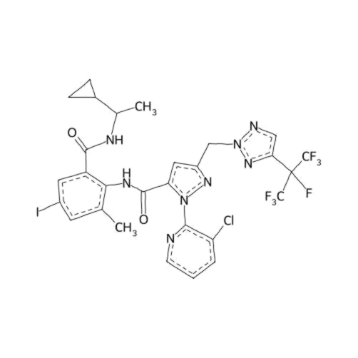 Cc1cc(I)cc(C(=O)NC(C)C2CC2)c1NC(=O)c1cc(Cn2ncc(C(F)(C(F)(F)F)C(F)(F)F)n2)nn1-c1ncccc1Cl